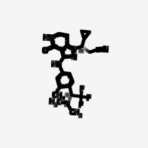 Cc1cc(Nc2nn([C@@H](CC#N)C3CC3)c3cc[nH]c(=O)c23)ccc1[C@@H](N(C)C)C(F)(F)F